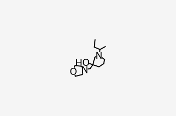 CCC(C)N1CCCC(O)(CN2CCOCC2)C1